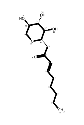 CCCCC/C=C/C(=O)C[C@@H]1OC[C@@H](O)[C@H](O)[C@H]1O